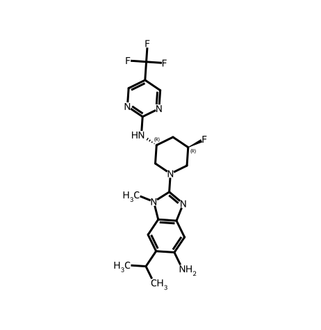 CC(C)c1cc2c(cc1N)nc(N1C[C@H](F)C[C@@H](Nc3ncc(C(F)(F)F)cn3)C1)n2C